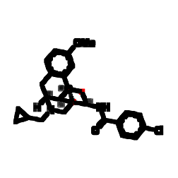 COc1ccc2c(c1)[C@]13CCN(CC4CC4)[C@H](C2)[C@]12CC[C@@](NC(=O)c1ccc(Cl)cc1)(CO2)C3